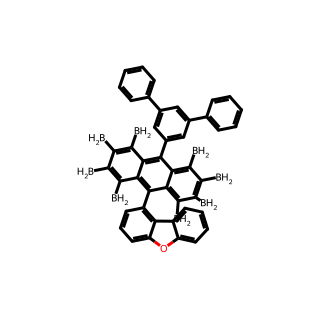 Bc1c(B)c(B)c2c(-c3cccc4oc5ccccc5c34)c3c(B)c(B)c(B)c(B)c3c(-c3cc(-c4ccccc4)cc(-c4ccccc4)c3)c2c1B